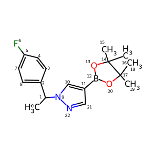 CC(c1ccc(F)cc1)n1cc(B2OC(C)(C)C(C)(C)O2)cn1